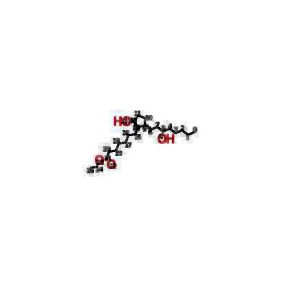 CCCCCC(O)CC=C1CC[C@@H](O)[C@@H]1CCCCCCC(=O)OCC